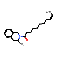 CCCCCCCC/C=C\CCCCCCCC(=O)N1Cc2ccccc2CC1C(=O)O